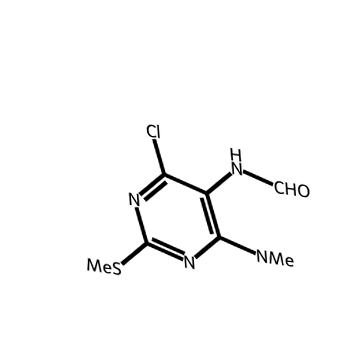 CNc1nc(SC)nc(Cl)c1NC=O